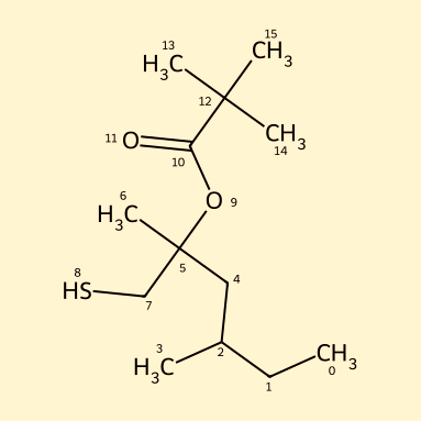 CCC(C)CC(C)(CS)OC(=O)C(C)(C)C